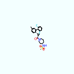 Cc1ccc([C@@H]2C[C@H]2C(=O)N2CCC[C@H](NS(C)(=O)=O)CC2)c(-c2c(F)cccc2F)c1